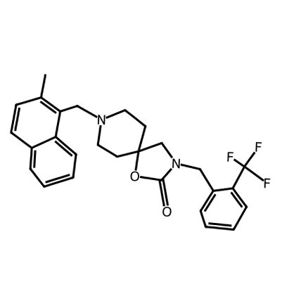 Cc1ccc2ccccc2c1CN1CCC2(CC1)CN(Cc1ccccc1C(F)(F)F)C(=O)O2